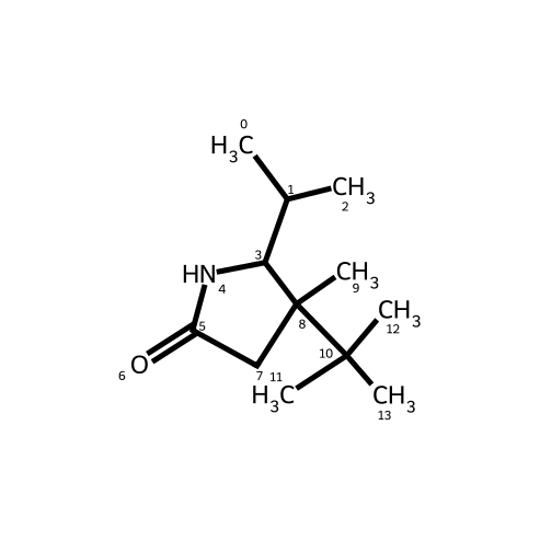 CC(C)C1NC(=O)CC1(C)C(C)(C)C